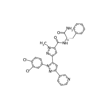 Cn1nc(-c2cc(-c3cccnc3)nn2-c2ccc(Cl)c(Cl)c2)cc1C(=O)N[C@@H](Cc1ccccc1)C(N)=O